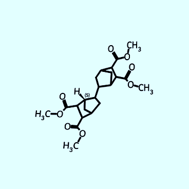 COC(=O)C1C2CC(C(C3CC4C[C@@H]3C(C(=O)OC)C4C(=O)OC)C2)C1C(=O)OC